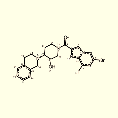 O=C(c1cn2cc(Br)cc(I)c2n1)N1CC[C@H](N2CCc3ccccc3C2)[C@@H](O)C1